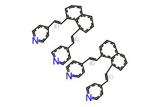 C(=C\c1cccc2cccc(/C=C/c3ccncc3)c12)/c1ccncc1.C(=C\c1cccc2cccc(/C=C/c3ccncc3)c12)/c1ccncc1